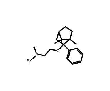 CN(CCOC1(c2ccccc2)CC2CCC1(C)C2(C)C)C(F)(F)F